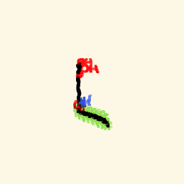 O=S(=O)(NCCCCCOCC(O)CO)C(F)(F)C(F)(F)C(F)(F)C(F)(F)C(F)(F)C(F)(F)C(F)(F)C(F)(F)F